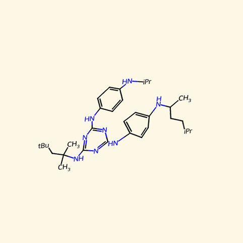 CC(C)CCC(C)Nc1ccc(Nc2nc(Nc3ccc(NC(C)C)cc3)nc(NC(C)(C)CC(C)(C)C)n2)cc1